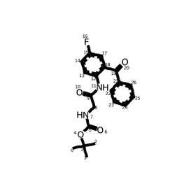 CC(C)(C)OC(=O)NCC(=O)Nc1ccc(F)cc1C(=O)c1ccccc1